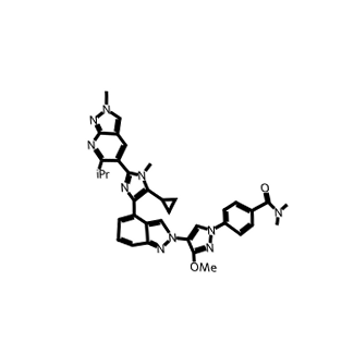 COc1nn(-c2ccc(C(=O)N(C)C)cc2)cc1-n1cc2c(-c3nc(-c4cc5cn(C)nc5nc4C(C)C)n(C)c3C3CC3)cccc2n1